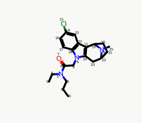 CCCN(CC)C(=O)Cn1c2c(c3cc(Cl)ccc31)C1CCC(C2)N1C